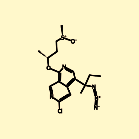 CCC(C)(N=[N+]=[N-])c1cnc(O[C@H](C)CC[S@@+](C)[O-])c2cnc(Cl)cc12